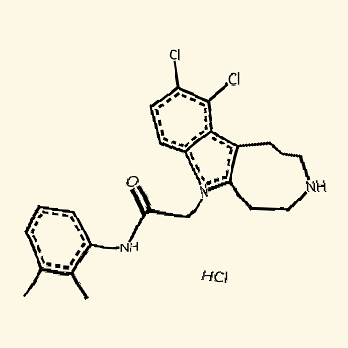 Cc1cccc(NC(=O)Cn2c3c(c4c(Cl)c(Cl)ccc42)CCNCC3)c1C.Cl